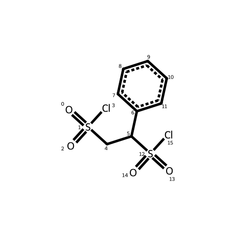 O=S(=O)(Cl)CC(c1ccccc1)S(=O)(=O)Cl